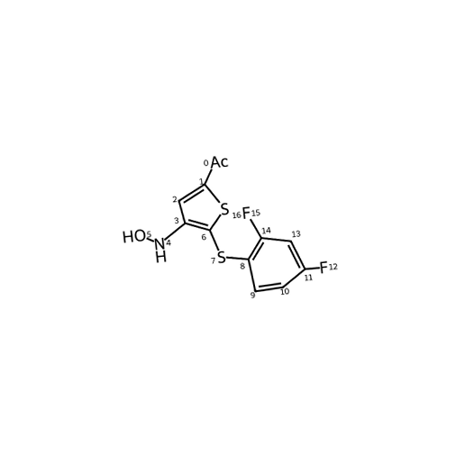 CC(=O)c1cc(NO)c(Sc2ccc(F)cc2F)s1